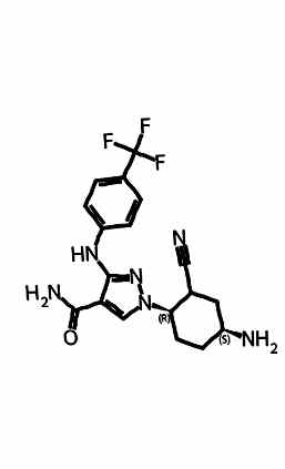 N#CC1C[C@@H](N)CC[C@H]1n1cc(C(N)=O)c(Nc2ccc(C(F)(F)F)cc2)n1